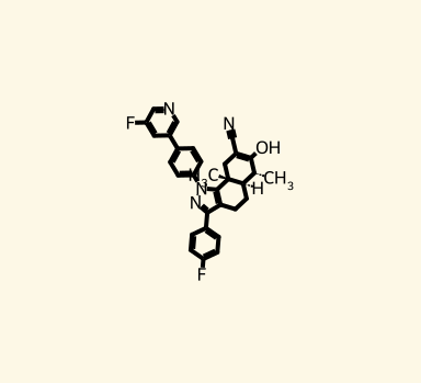 C[C@H]1C(O)=C(C#N)C[C@@]2(C)c3c(c(-c4ccc(F)cc4)nn3-c3ccc(-c4cncc(F)c4)cc3)CC[C@H]12